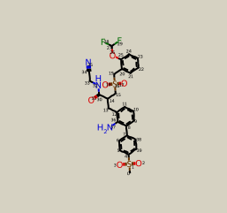 CS(=O)(=O)c1ccc(-c2cccc(CC(CS(=O)(=O)Cc3ccccc3OC(F)F)C(=O)NCC#N)c2N)cc1